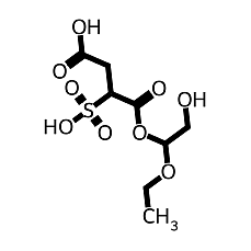 CCOC(CO)OC(=O)C(CC(=O)O)S(=O)(=O)O